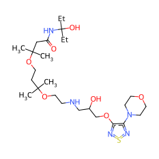 CCC(O)(CC)NC(=O)CC(C)(C)OCCC(C)(C)OCCNCC(O)COc1nsnc1N1CCOCC1